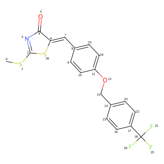 CSC1=NC(=O)/C(=C/c2ccc(OCc3ccc(C(F)(F)F)cc3)cc2)S1